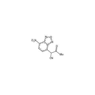 CC(C)(C)C(=O)C(C#N)c1ccc([N+](=O)[O-])c2nonc12